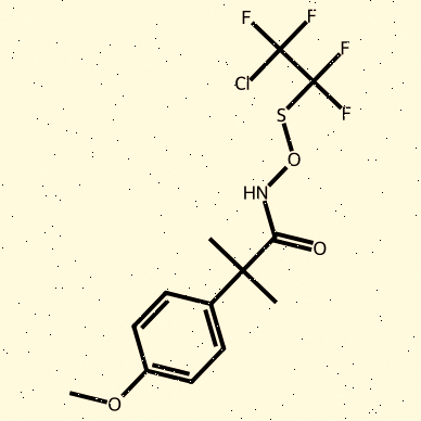 COc1ccc(C(C)(C)C(=O)NOSC(F)(F)C(F)(F)Cl)cc1